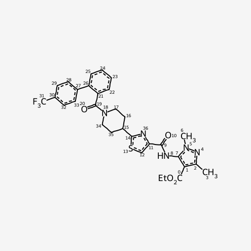 CCOC(=O)c1c(C)nn(C)c1NC(=O)c1csc(C2CCN(C(=O)c3ccccc3-c3ccc(C(F)(F)F)cc3)CC2)n1